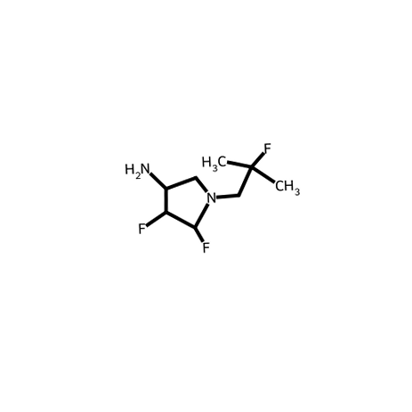 CC(C)(F)CN1CC(N)C(F)C1F